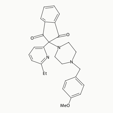 CCc1cccc(C2(N3CCN(Cc4ccc(OC)cc4)CC3)C(=O)c3ccccc3C2=O)n1